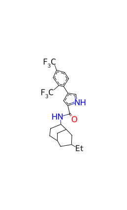 CCC1CC2CCC(NC(=O)c3cc(-c4ccc(C(F)(F)F)cc4C(F)(F)F)c[nH]3)C(C1)C2